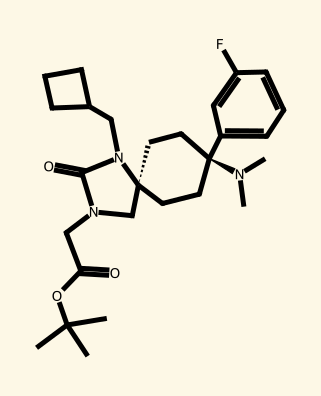 CN(C)[C@]1(c2cccc(F)c2)CC[C@]2(CC1)CN(CC(=O)OC(C)(C)C)C(=O)N2CC1CCC1